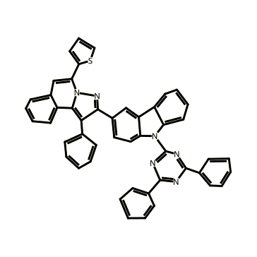 c1ccc(-c2nc(-c3ccccc3)nc(-n3c4ccccc4c4cc(-c5nn6c(-c7cccs7)cc7ccccc7c6c5-c5ccccc5)ccc43)n2)cc1